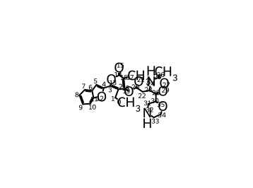 CCc1c(-c2cc3ccccc3o2)oc(=O)c(C)c1OC(=O)CC(NC(C)=O)C(=O)C1CNCCO1